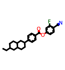 CCC1CCC2CC(c3ccc(C(=O)Oc4ccc(C#N)c(F)c4)cc3)CCC2C1